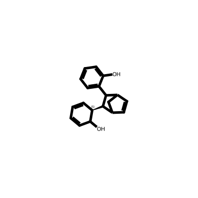 Oc1ccccc1C1C2C=CC(C2)C1[C@@H]1C=CC=CC1O